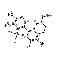 NC[C@H]1CCc2c(O)c(F)cc(-c3ccc(O)c(O)c3C(F)(F)F)c2O1